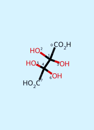 O=C(O)C(O)(O)C(O)(O)C(=O)O